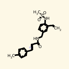 C=Cc1cc(CNC(=O)/C=C/c2ccc(C)cc2)ccc1NS(C)(=O)=O